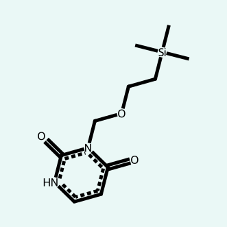 C[Si](C)(C)CCOCn1c(=O)cc[nH]c1=O